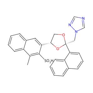 Cc1c(S(=O)(=O)O)c([C@@H]2CO[C@@](Cn3cncn3)(c3cccc4ccccc34)O2)cc2ccccc12